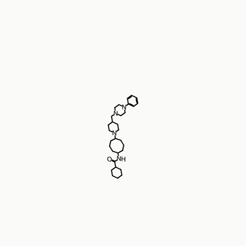 O=C(NC1CCCC(N2CCC(CN3CCN(c4ccccc4)CC3)CC2)CCC1)C1CCCCC1